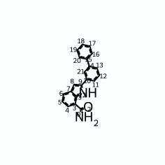 NC(=O)c1cccc2cc(-c3cccc(-c4ccccc4)c3)[nH]c12